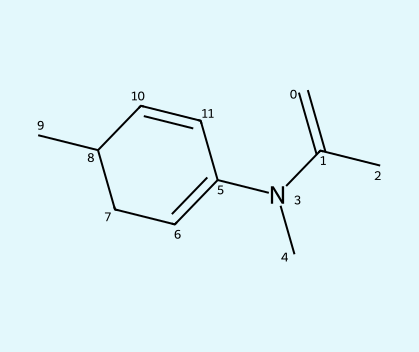 C=C(C)N(C)C1=CCC(C)C=C1